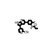 C=CC(=O)N(C)c1cc(-c2cnc3[nH]cc(-c4ccnc(C#N)c4)c3c2)ccc1F